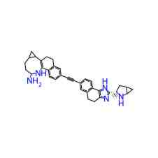 NC1CCC2CC2C2=C(N1)c1ccc(C#Cc3ccc4c(c3)CCc3nc([C@@H]5CC6CC6N5)[nH]c3-4)cc1CC2